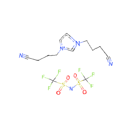 N#CCCCn1cc[n+](CCCC#N)c1.O=S(=O)([N-]S(=O)(=O)C(F)(F)F)C(F)(F)F